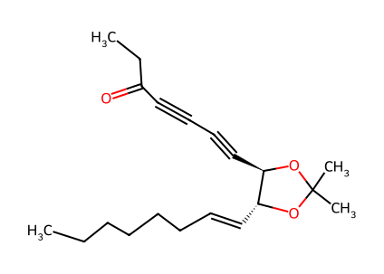 CCCCCC/C=C/[C@H]1OC(C)(C)O[C@@H]1C#CC#CC(=O)CC